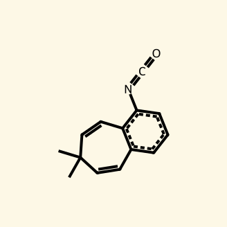 CC1(C)C=Cc2cccc(N=C=O)c2C=C1